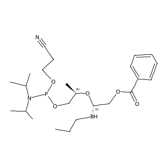 CCCB[C@@H](COC(=O)c1ccccc1)O[C@H](C)COP(OCCC#N)N(C(C)C)C(C)C